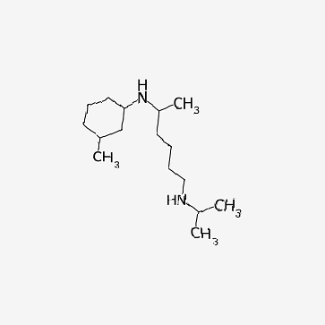 CC1CCCC(NC(C)CCCCNC(C)C)C1